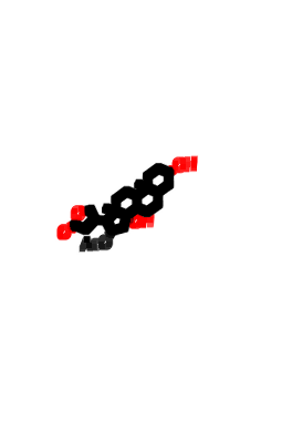 CC(=O)OC1C[C@]2(O)C3CCC4CC(O)CCC4(C)C3CCC2(C)C1C1=CC(=O)OC1